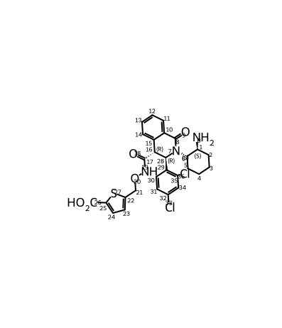 N[C@H]1CCCC[C@@H]1N1C(=O)c2ccccc2[C@@H](C(=O)NOCc2ccc(C(=O)O)s2)[C@@H]1c1ccc(Cl)cc1Cl